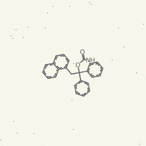 NC(=O)OC(Cc1cccc2ccccc12)(c1ccccc1)c1ccccc1